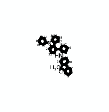 CC1(C)c2ccccc2-c2ccc(Nc3ccccc3-c3cccc4c3c3ccccc3n4-c3ccccc3)cc21